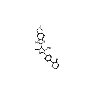 CN1N=C(c2ccc(-n3ccccc3=O)cc2)C(O)C1c1nc2cc3c(cc2[nH]1)CNC3